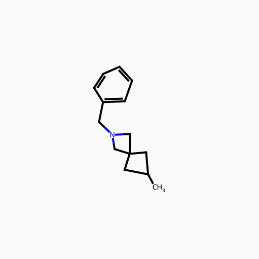 C[C]1CC2(C1)CN(Cc1ccccc1)C2